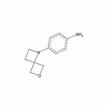 Nc1ccc(N2CCC23COC3)cc1